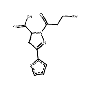 O=C(O)C1CC(c2cccs2)=NN1C(=O)CCS